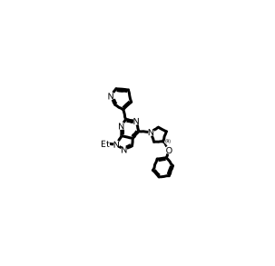 CCn1ncc2c(N3CC[C@@H](Oc4ccccc4)C3)nc(-c3cccnc3)nc21